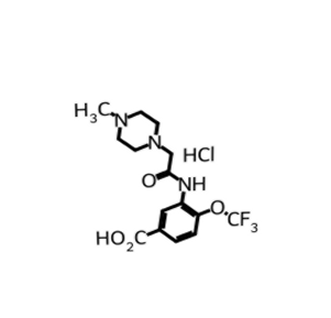 CN1CCN(CC(=O)Nc2cc(C(=O)O)ccc2OC(F)(F)F)CC1.Cl